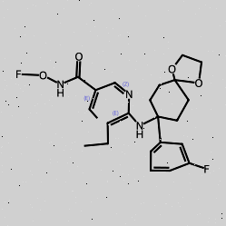 C\C=C(/C=N\C(=C\CC)NC1(c2cccc(F)c2)CCC2(CC1)OCCO2)C(=O)NOF